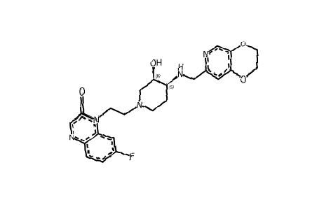 O=c1cnc2ccc(F)cc2n1CCN1CC[C@H](NCc2cc3c(cn2)OCCO3)[C@H](O)C1